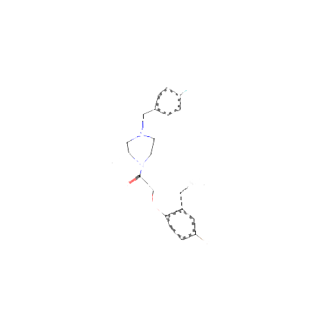 C[C@@H]1CN(Cc2ccc(F)cc2)CCN1C(=O)COc1ccc(Br)cc1CS(=O)(=O)O